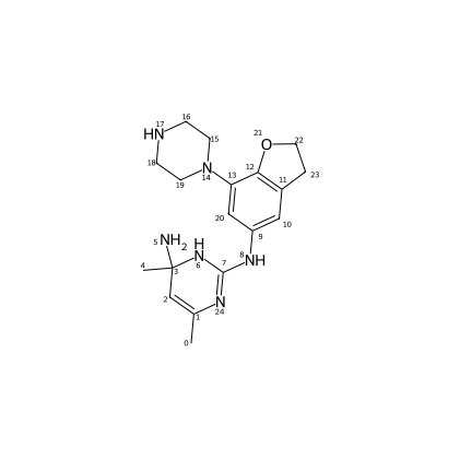 CC1=CC(C)(N)NC(Nc2cc3c(c(N4CCNCC4)c2)OCC3)=N1